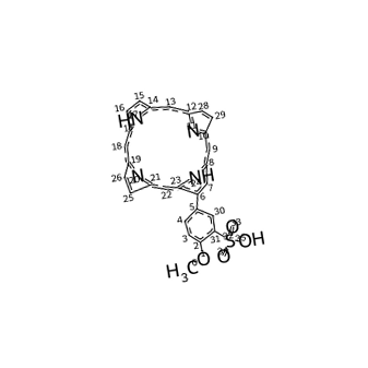 COc1ccc(-c2cc3cc4nc(cc5ccc(cc6nc(cc2[nH]3)C=C6)[nH]5)C=C4)cc1S(=O)(=O)O